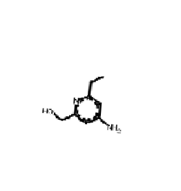 CCc1cc(N)cc(CO)n1